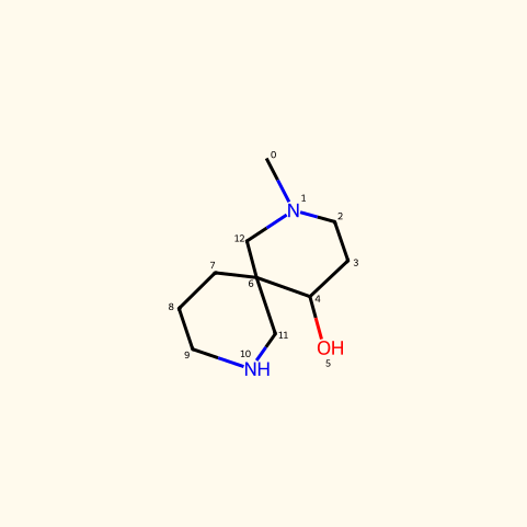 CN1CCC(O)C2(CCCNC2)C1